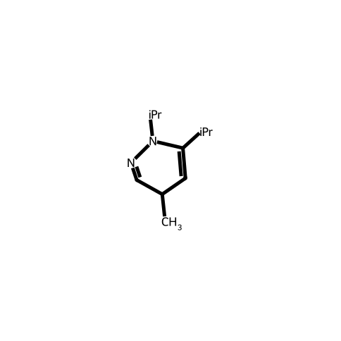 CC1C=NN(C(C)C)C(C(C)C)=C1